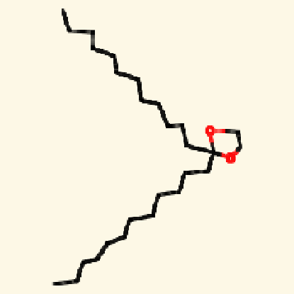 CCCCCCCCCCCCC1(CCCCCCCCCCCC)OCCO1